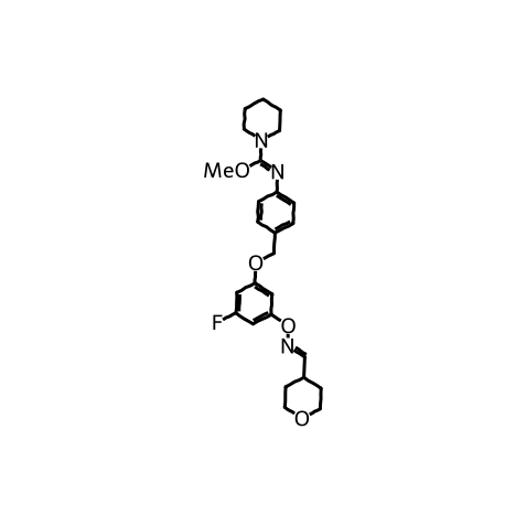 CO/C(=N\c1ccc(COc2cc(F)cc(ON=CC3CCOCC3)c2)cc1)N1CCCCC1